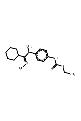 CCOC(=O)Nc1ccc(N(C)C(=NC)C2CCCCC2)cc1